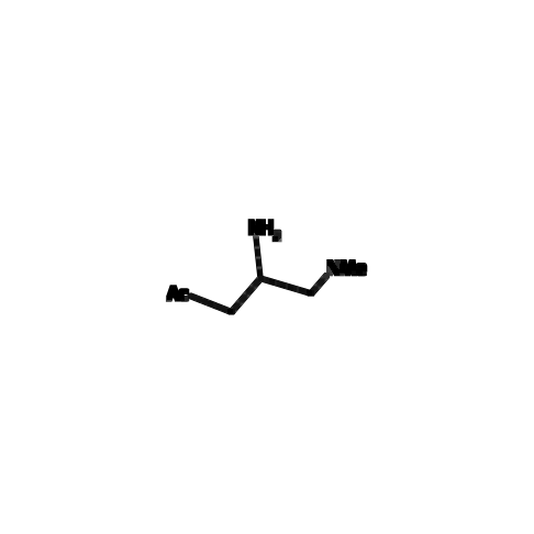 CNCC(N)CC(C)=O